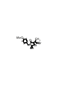 COc1ccc(CN2C(=O)c3c(sc(Br)c3C)C23CC3)cc1